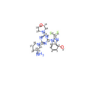 COc1cccc2c1nc(C(F)F)n2-c1nc(N2CCOCC2)nc(N2CCC[C@H](N)C2)n1